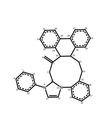 C=C1CC2N(c3ccccc3)C=CN2c2ccccc2CCC2c3ccccc3-c3ccccc3C12